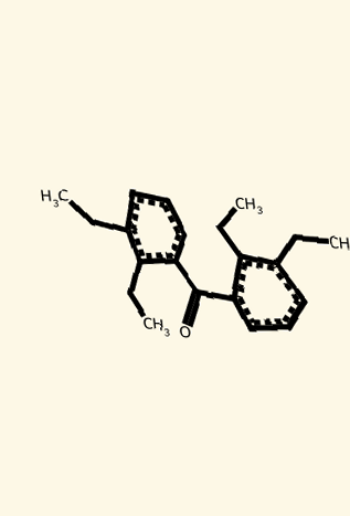 CCc1cccc(C(=O)c2cccc(CC)c2CC)c1CC